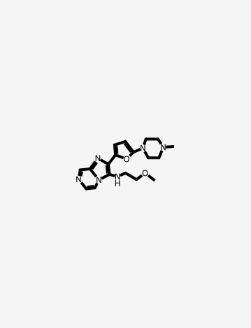 COCCNc1c(-c2ccc(N3CCN(C)CC3)o2)nc2cnccn12